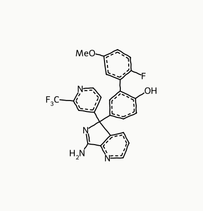 COc1ccc(F)c(-c2cc(C3(c4ccnc(C(F)(F)F)c4)N=C(N)c4ncccc43)ccc2O)c1